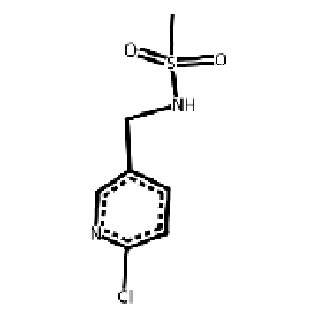 CS(=O)(=O)NCc1ccc(Cl)nc1